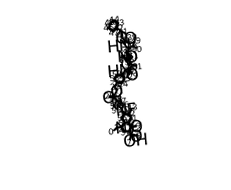 CCn1cc(C(=O)O)c(=O)c2cc(F)c(N3CCN(C(=O)OCc4ccc(NC(=O)C(C)c5nnc([C@@H](NC(=O)OCc6ccccc6)C(C)C)o5)cc4)CC3)cc21